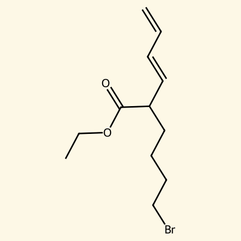 C=CC=CC(CCCCBr)C(=O)OCC